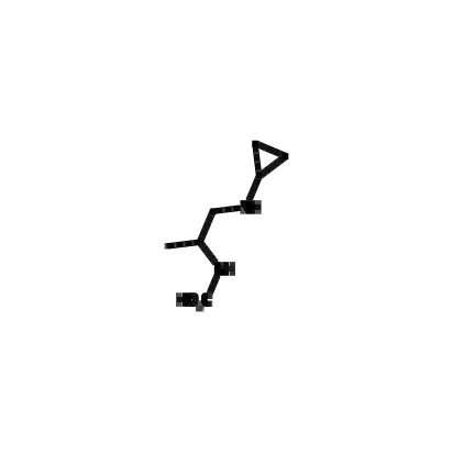 CC(CNC1CC1)NC(=O)O